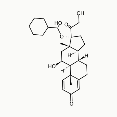 C[C@]12C=CC(=O)C=C1CC[C@@H]1[C@@H]2[C@@H](O)C[C@@]2(C)[C@H]1CC[C@]2(O[C@@H](O)C1CCCCC1)C(=O)CO